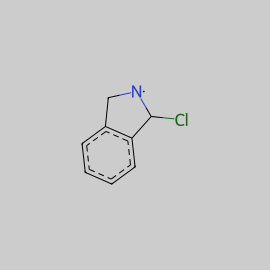 ClC1[N]Cc2ccccc21